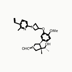 C=Cc1ccc(N2CC(Oc3cc([C@@H]4CN(C=O)C[C@@]4(C)[C@@H](C)O)ccc3OC)C2)nc1C